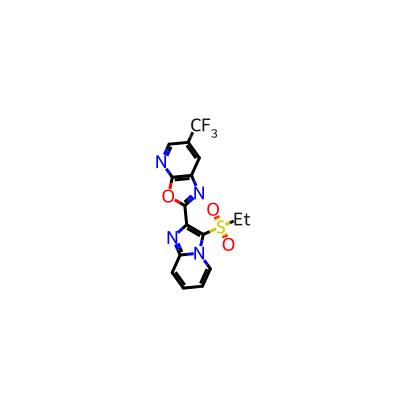 CCS(=O)(=O)c1c(-c2nc3cc(C(F)(F)F)cnc3o2)nc2ccccn12